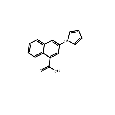 O=C(O)c1cc([SH]2C=CC=C2)cc2ccccc12